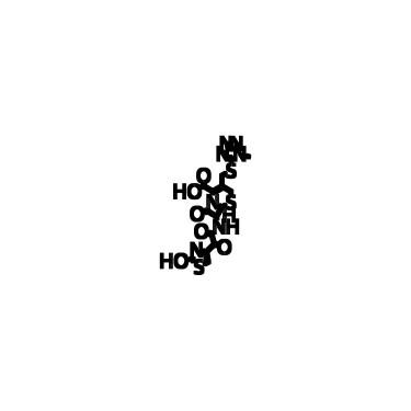 Cn1nnnc1SCC1=C(C(=O)O)N2C(=O)C(NC(=O)C(=O)c3csc(O)n3)[C@H]2SC1